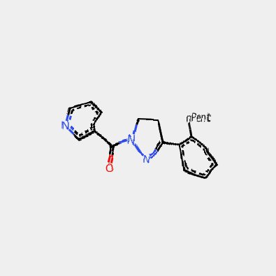 CCCCCc1ccccc1C1=NN(C(=O)c2cccnc2)CC1